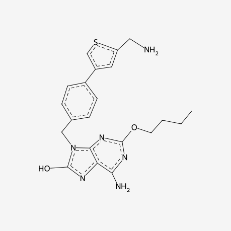 CCCCOc1nc(N)c2nc(O)n(Cc3ccc(-c4csc(CN)c4)cc3)c2n1